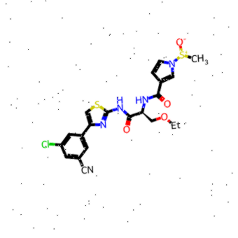 CCOC[C@H](NC(=O)c1ccn([S+](C)[O-])c1)C(=O)Nc1nc(-c2cc(Cl)cc(C#N)c2)cs1